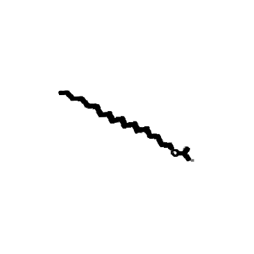 [CH2]C(C)OCCCCCCCCCCCCCCCCCC